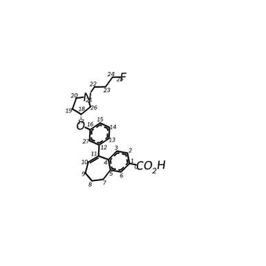 O=C(O)c1ccc2c(c1)CCCC=C2c1cccc(O[C@@H]2CCN(CCCF)C2)c1